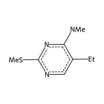 CCc1cnc(SC)nc1NC